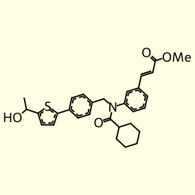 COC(=O)/C=C/c1cccc(N(Cc2ccc(-c3ccc(C(C)O)s3)cc2)C(=O)C2CCCCC2)c1